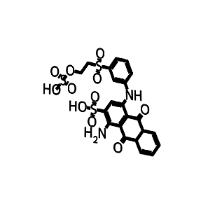 Nc1c(S(=O)(=O)O)cc(Nc2cccc(S(=O)(=O)CCOS(=O)(=O)O)c2)c2c1C(=O)C1C=CC=CC1C2=O